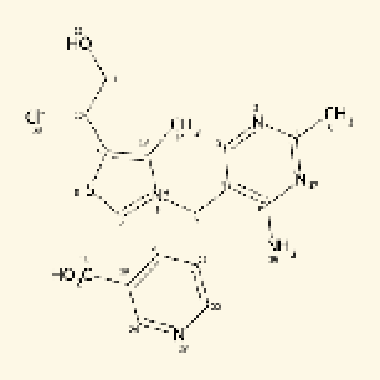 Cc1ncc(C[n+]2csc(CCO)c2C)c(N)n1.O=C(O)c1cccnc1.[Cl-]